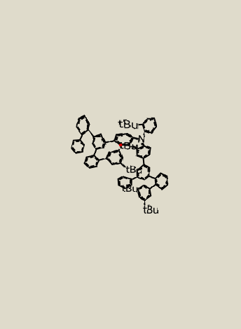 CC(C)(C)c1cc(-c2ccccc2-c2cc(-c3ccccc3)cc(-c3ccc4c(c3)c3cc(-c5cc(-c6ccccc6-c6ccccc6)cc(-c6ccccc6-c6cc(C(C)(C)C)cc(C(C)(C)C)c6)c5)ccc3n4-c3ccccc3C(C)(C)C)c2)cc(C(C)(C)C)c1